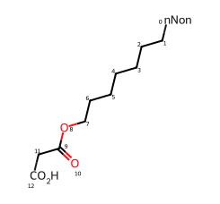 CCCCCCCCCCCCCCCCOC(=O)CC(=O)O